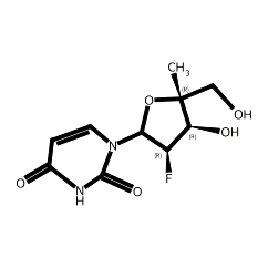 C[C@]1(CO)OC(n2ccc(=O)[nH]c2=O)[C@H](F)[C@@H]1O